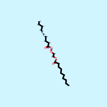 CCCCCCCCCC(=O)OCCOOC(=O)CCCCCCCCC